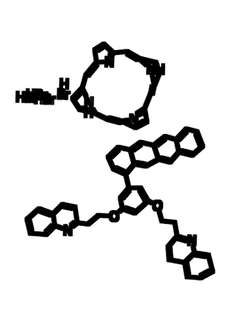 Br.Br.Br.Br.C1=Cc2cc3ccc(cc4nc(cc5ccc(cc1n2)[nH]5)C=C4)[nH]3.c1ccc2cc3cc4c(-c5cc(OCCc6ccc7ccccc7n6)cc(OCCc6ccc7ccccc7n6)c5)cccc4cc3cc2c1